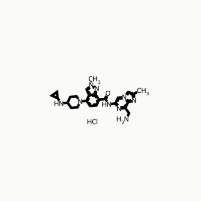 Cc1cn2cc(NC(=O)c3ccc(N4CCC(NC5CC5)CC4)c4cn(C)nc34)nc(CN)c2n1.Cl